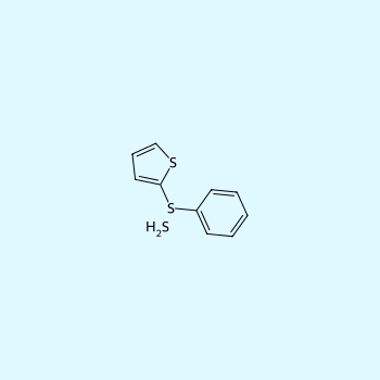 S.c1ccc(Sc2cccs2)cc1